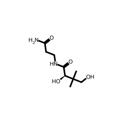 CC(C)(CO)[C@@H](O)C(=O)NCCC(N)=O